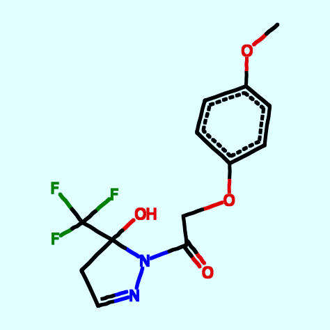 COc1ccc(OCC(=O)N2N=CCC2(O)C(F)(F)F)cc1